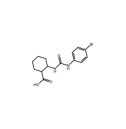 O=C(Nc1ccc(Br)cc1)NC1CCCCC1C(=O)O